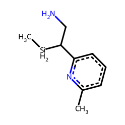 C[SiH2]C(CN)c1cccc(C)n1